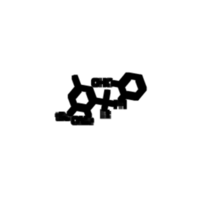 CCC(C)(Pc1ccccc1C=O)c1cc(C)cc(C(C)(C)C)c1OC